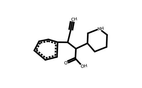 C#CC(c1ccccc1)C(C(=O)O)C1CCCNC1